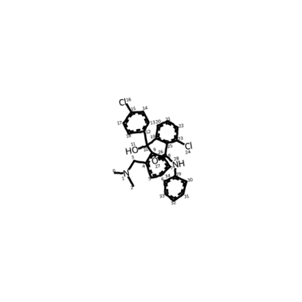 CN(C)Cc1ccccc1C(O)(c1ccc(Cl)cc1)c1cccc(Cl)c1C(=O)Nc1ccccc1